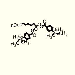 [CH2]CCCCCCCCCCCCCC[C](OOC(=O)c1ccc([Si](C)(C)C=C)cc1)OOC(=O)c1ccc([Si](C)(C)C=C)cc1